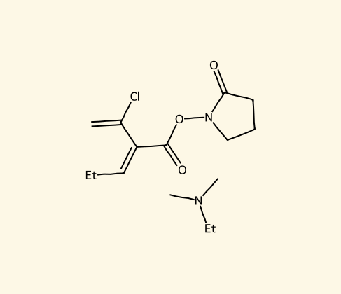 C=C(Cl)C(=CCC)C(=O)ON1CCCC1=O.CCN(C)C